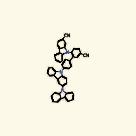 N#Cc1ccc(-n2c3ccccc3c3ccc(C#N)cc32)c(-c2ccc(-n3c4ccccc4c4cc(-n5c6ccccc6c6ccccc65)ccc43)cc2)c1